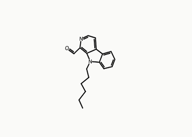 CCCCCCn1c2ccccc2c2ccnc(C=O)c21